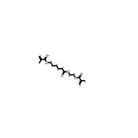 C=C(C)C(=O)OCCCCCC(=O)OCCOC(=O)C(=C)C